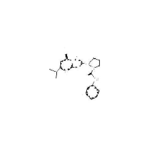 CC(C)c1cc(=O)n2nc([C@H]3CCCN3C(=O)Nc3ccccc3)sc2n1